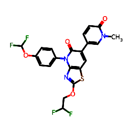 Cn1cc(-c2cc3sc(OCC(F)F)nc3n(-c3ccc(OC(F)F)cc3)c2=O)ccc1=O